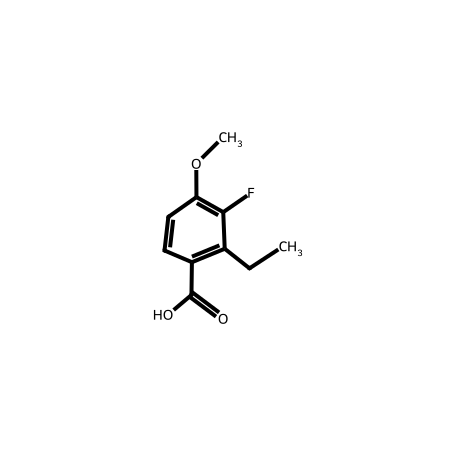 CCc1c(C(=O)O)ccc(OC)c1F